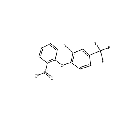 O=[N+]([O-])c1[c]cccc1Oc1ccc(C(F)(F)F)cc1Cl